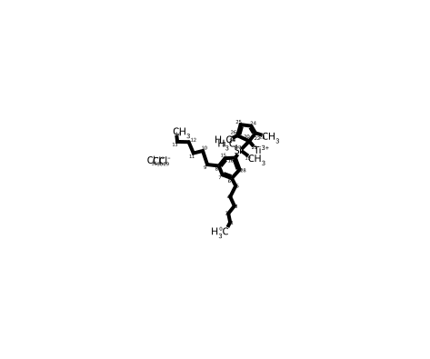 CCCCCCc1cc(CCCCCC)cc([Si](C)(C)[C]2([Ti+3])C(C)=CC=C2C)c1.[Cl-].[Cl-].[Cl-]